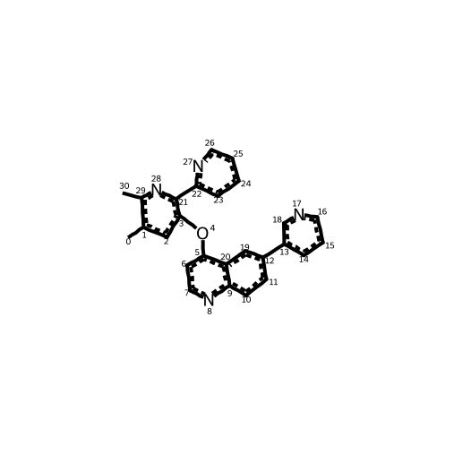 Cc1cc(Oc2ccnc3ccc(-c4cccnc4)cc23)c(-c2ccccn2)nc1C